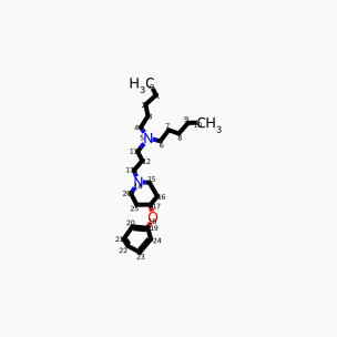 CCCCCN(CCCCC)CCCN1CCC(Oc2ccccc2)CC1